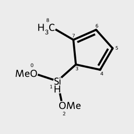 CO[SiH](OC)C1C=CC=C1C